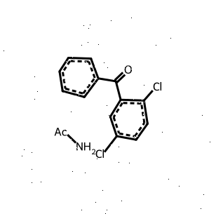 CC(N)=O.O=C(c1ccccc1)c1cc(Cl)ccc1Cl